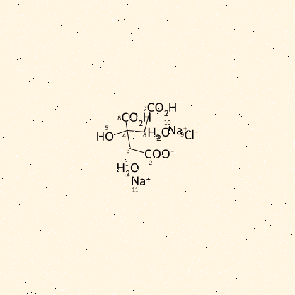 O.O.O=C([O-])CC(O)(CC(=O)O)C(=O)O.[Cl-].[Na+].[Na+]